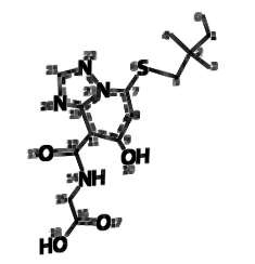 CCC(C)(C)CSc1cc(O)c(C(=O)NCC(=O)O)c2ncnn12